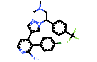 CN(C)C[C@@H](c1ccc(C(F)(F)F)cc1)n1cc(-c2ccnc(N)c2-c2ccc(Cl)cc2)cn1